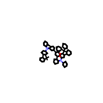 CC1(C)c2ccccc2-c2ccc(-n3c4ccccc4c4ccc(-c5cccc(-c6ccccc6N(c6ccccc6)c6ccc7c(c6)-c6ccccc6C7(c6ccccc6)c6ccccc6)c5)cc43)cc21